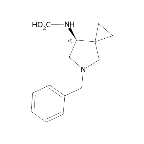 O=C(O)N[C@@H]1CN(Cc2ccccc2)CC12CC2